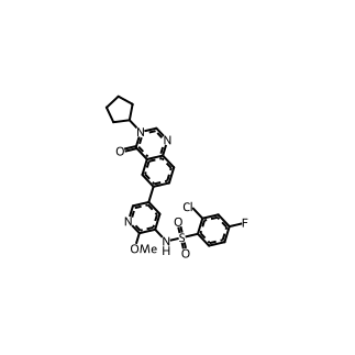 COc1ncc(-c2ccc3ncn(C4CCCC4)c(=O)c3c2)cc1NS(=O)(=O)c1ccc(F)cc1Cl